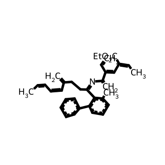 C=C/C(=C\C(=C/C)C(=O)OCC)C(=C)/N=C(/CCC(=C)/C=C\C=C/C)c1c(C)cccc1-c1ccccc1